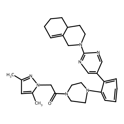 Cc1cc(C)n(CC(=O)N2CCN(c3ccccc3-c3cnc(N4CCC5CCCC=C5C4)nc3)CC2)n1